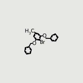 Cc1cc(OCc2ccccc2)c(Br)c(OCc2ccccc2)c1